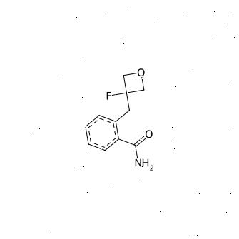 NC(=O)c1ccccc1CC1(F)COC1